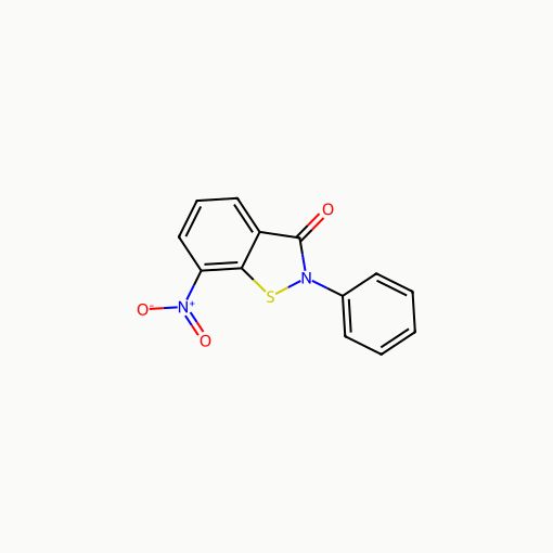 O=c1c2cccc([N+](=O)[O-])c2sn1-c1ccccc1